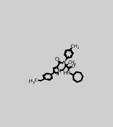 CCc1ccc(-c2cc3n(n2)CC(C)(C(=O)NC2CCCCCC2)N(c2ccc(C)cc2)C3=O)cc1